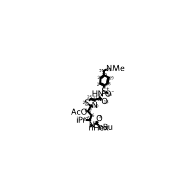 CCCCCCN(C(=O)CCCC)C(CC(OC(C)=O)c1nc(C(=O)N[S+]([O-])c2ccc(CNC)cc2)cs1)C(C)C